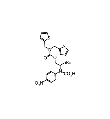 CCCCC(COC(=O)N(Cc1cccs1)Cc1cccs1)N(C(=O)O)c1ccc([N+](=O)[O-])cc1